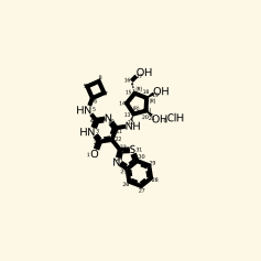 Cl.O=c1[nH]c(NC2CCC2)nc(N[C@@H]2C[C@H](CO)[C@@H](O)[C@H]2O)c1-c1nc2ccccc2s1